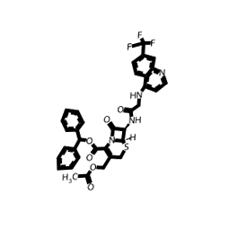 CC(=O)OCC1=C(C(=O)OC(c2ccccc2)c2ccccc2)N2C(=O)[C@@H](NC(=O)CNc3ccnc4cc(C(F)(F)F)ccc34)[C@H]2SC1